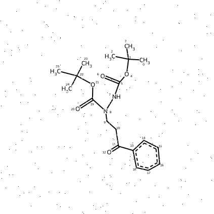 CC(C)(C)OC(=O)NN(CCC(=O)c1ccccc1)C(=O)OC(C)(C)C